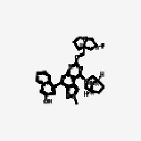 Cn1cc2c(n1)c(-c1cc(O)cc3ccccc13)cc1nc(OC[C@@]34CCCN3C[C@H](F)C4)nc(N3C[C@H]4CC[C@@H](C3)N4)c12